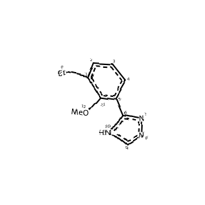 CCc1cccc(-c2nnc[nH]2)c1OC